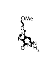 COCCOCn1cnc2c(=O)[nH]c(N)cc21